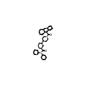 O=C(c1c2ccccc2cc2ccccc12)N1CCC(N2CCCC(C(=O)N(c3ccccc3)c3ccccc3)C2)CC1